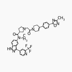 CCN(C(=O)C1CCN(CC(=O)N2CC=C(c3ccc(-c4nc(C)no4)cc3)CC2)C1)c1ccc2[nH]nc(-c3ccnc(C(F)(F)F)c3)c2c1